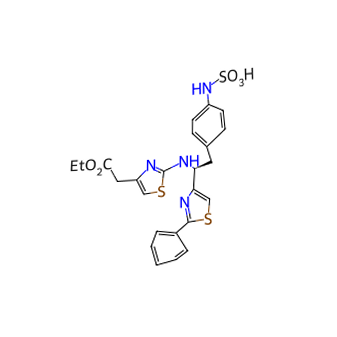 CCOC(=O)Cc1csc(N[C@@H](Cc2ccc(NS(=O)(=O)O)cc2)c2csc(-c3ccccc3)n2)n1